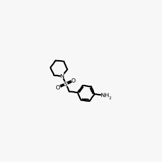 Nc1ccc(CS(=O)(=O)N2CCCCC2)cc1